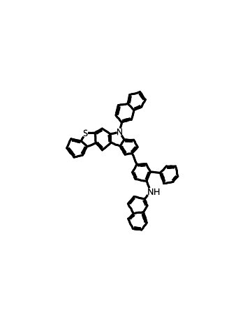 c1ccc(-c2cc(-c3ccc4c(c3)c3cc5c(cc3n4-c3ccc4ccccc4c3)sc3ccccc35)ccc2Nc2ccc3ccccc3c2)cc1